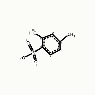 Cc1ccc(S([O])(=O)=O)c(C)c1